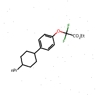 CCCC1CCC(c2ccc(OC(F)(F)C(=O)OCC)cc2)CC1